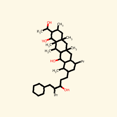 CC(C)C(CC1CCCCC1)C(O)CCC1CC(C(C)C)C2CC3(C)CC4(C)CC(C)C(C(C)O)C(O)C4(C)C(C)C3C(O)C2C1C